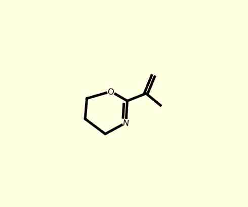 C=C(C)C1=NCCCO1